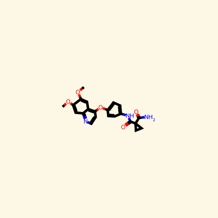 COc1cc2nccc(Oc3ccc(NC(=O)C4(C(N)=O)CC4)cc3)c2cc1OC